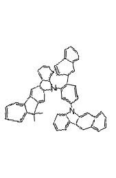 CC1(C)c2ccccc2-c2cc3c4ccccc4n(-c4cc(-n5c6ccccc6c6cc7ccccc7cc65)ccc4-c4ccc5ccccc5c4)c3cc21